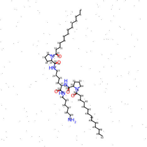 CCCCCCCCCCCCCC(=O)N1CCCC1C(=O)NCCCCC(NC(=O)C1CCCN1C(=O)CCCCCCCCCCCCC)C(=O)NCCCCCCN